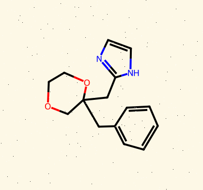 c1ccc(CC2(Cc3ncc[nH]3)COCCO2)cc1